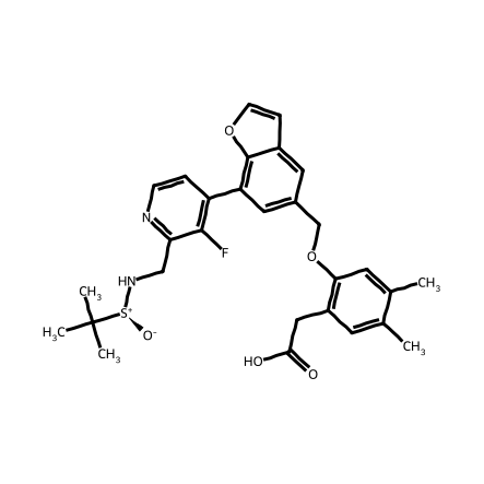 Cc1cc(CC(=O)O)c(OCc2cc(-c3ccnc(CN[S@@+]([O-])C(C)(C)C)c3F)c3occc3c2)cc1C